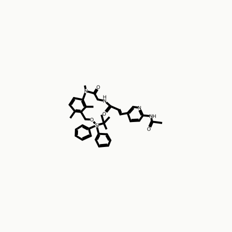 CC(=O)Nc1ccc(/C=C/C(=O)NCC(=O)N(C)c2ccc(C)c(CO[Si](c3ccccc3)(c3ccccc3)C(C)(C)C)c2C)cn1